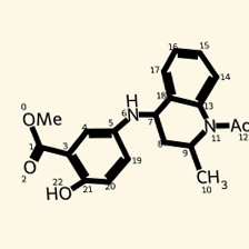 COC(=O)c1cc(NC2CC(C)N(C(C)=O)c3ccccc32)ccc1O